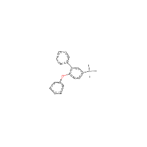 CC(C)(C)c1ccc(Oc2cc[c]cc2)c(-c2ccccc2)c1